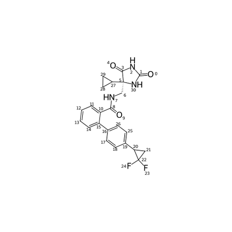 O=C1NC(=O)[C@](CNC(=O)c2ccccc2-c2ccc(C3CC3(F)F)cc2)(C2CC2)N1